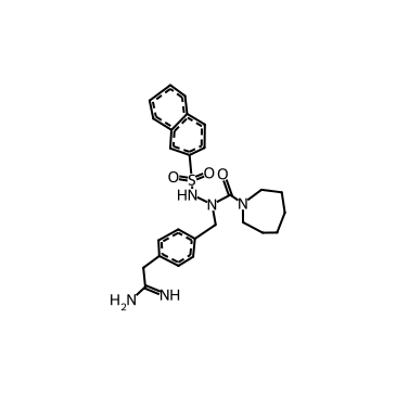 N=C(N)Cc1ccc(CN(NS(=O)(=O)c2ccc3ccccc3c2)C(=O)N2CCCCCC2)cc1